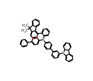 CC1(C)c2ccccc2-c2c(-c3ccccc3N(c3ccc(-c4ccccc4)cc3)c3ccc(-c4cccc(N5c6ccccc6C6C=CC=CC65)c4)cc3)cccc21